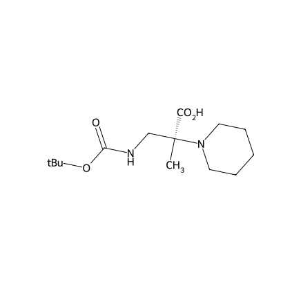 CC(C)(C)OC(=O)NC[C@@](C)(C(=O)O)N1CCCCC1